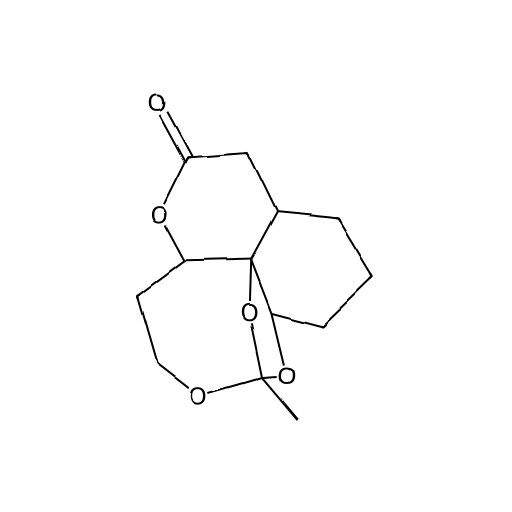 CC12OCCC3OC(=O)CC4CCCC(O1)C43O2